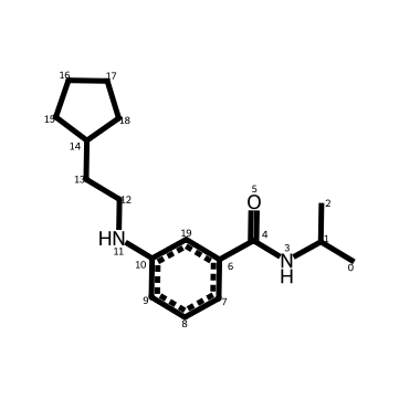 CC(C)NC(=O)c1cccc(NCCC2CCCC2)c1